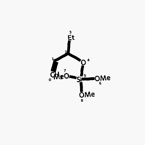 C=CC(CC)O[Si](OC)(OC)OC